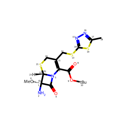 CO[C@@]1(N)C(=O)N2C(C(=O)OC(C)(C)C)=C(CSc3nnc(C)s3)CS[C@H]21